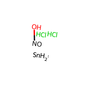 Cl.Cl.O=NO.[SnH2]